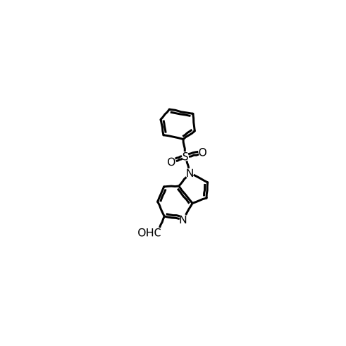 O=Cc1ccc2c(ccn2S(=O)(=O)c2ccccc2)n1